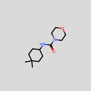 CC1(C)CCC(NC(=O)N2CCOCC2)CC1